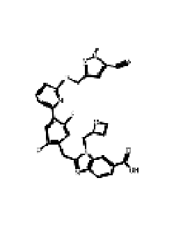 Cn1nc(COc2cccc(-c3cc(F)c(Cc4nc5ccc(C(=O)O)cc5n4CC4CCO4)cc3F)n2)cc1C#N